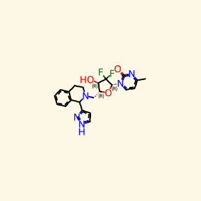 Cc1ccn([C@@H]2O[C@H](CN3CCc4ccccc4C3c3cc[nH]n3)[C@@H](O)C2(F)F)c(=O)n1